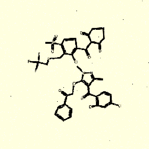 CS(=O)(=O)c1ccc(C(=O)C2C(=O)CCCC2=O)c(Cl)c1COCC(F)(F)F.Cc1nn(C)c(OCC(=O)c2ccccc2)c1C(=O)c1ccc(Cl)cc1Cl